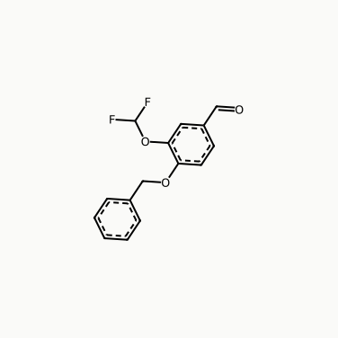 O=Cc1ccc(OCc2ccccc2)c(OC(F)F)c1